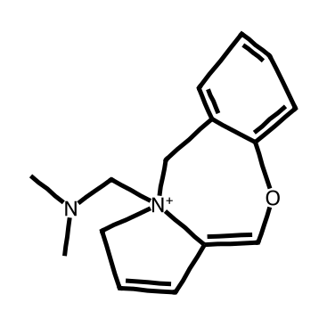 CN(C)C[N+]12CC=CC1=COc1ccccc1C2